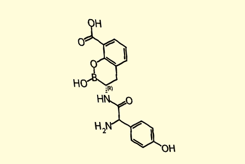 NC(C(=O)N[C@H]1Cc2cccc(C(=O)O)c2OB1O)c1ccc(O)cc1